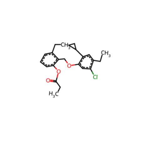 CCC(=O)Oc1cccc(CC)c1COc1cc(Cl)c(CC)cc1C1CC1